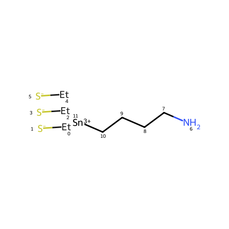 CC[S-].CC[S-].CC[S-].NCCC[CH2][Sn+3]